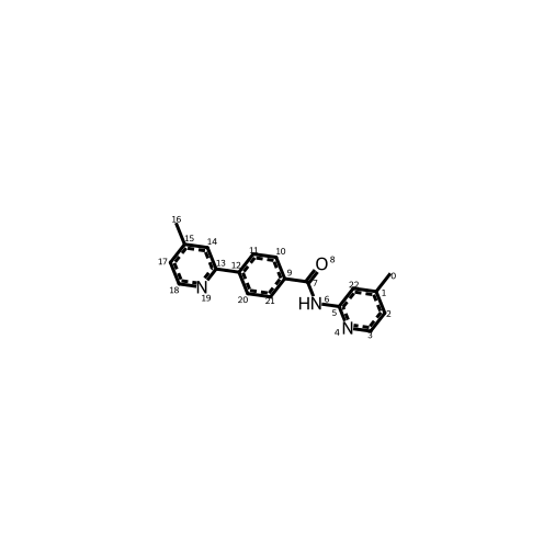 Cc1ccnc(NC(=O)c2ccc(-c3cc(C)ccn3)cc2)c1